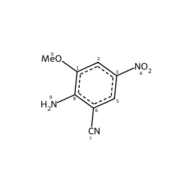 COc1cc([N+](=O)[O-])cc(C#N)c1N